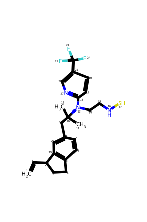 C=CC1CCc2ccc(CC(C)(C)N(CCNS)c3ccc(C(F)(F)F)cn3)cc21